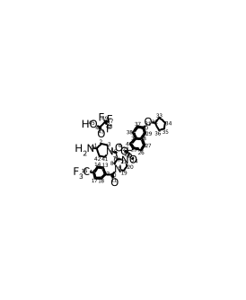 NC1CCN(C(=O)[C@@H]2CN(C(=O)c3ccc(C(F)(F)F)cc3)CCN2S(=O)(=O)c2ccc3cc(OC4CCCC4)ccc3c2)CC1.O=C(O)C(F)(F)F